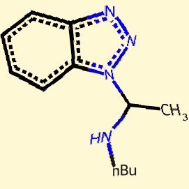 CCCCNC(C)n1nnc2ccccc21